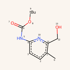 Cc1ccc(NC(=O)OC(C)(C)C)nc1CO